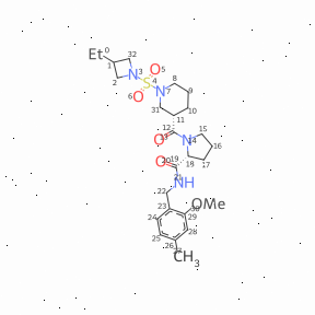 CCC1CN(S(=O)(=O)N2CCC[C@H](C(=O)N3CCC[C@@H]3C(=O)NCc3ccc(C)cc3OC)C2)C1